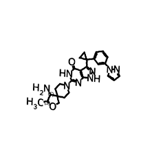 C[C@@H]1OCC2(CCN(c3nc4[nH]nc(C5(c6cccc(-n7cccn7)c6)CC5)c4c(=O)[nH]3)CC2)[C@@H]1N